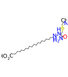 NC(=O)C(CSSCC(C=O)NI)NCNCCCCCCCCCCCCCCCCCCCCC(=O)O